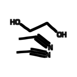 CC#N.CC#N.OCCO